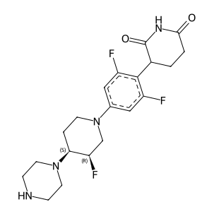 O=C1CCC(c2c(F)cc(N3CC[C@H](N4CCNCC4)[C@H](F)C3)cc2F)C(=O)N1